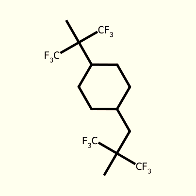 CC(CC1CCC(C(C)(C(F)(F)F)C(F)(F)F)CC1)(C(F)(F)F)C(F)(F)F